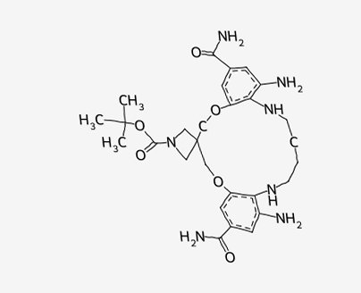 CC(C)(C)OC(=O)N1CC2(COc3cc(C(N)=O)cc(N)c3NCCCCNc3c(N)cc(C(N)=O)cc3OC2)C1